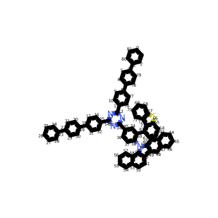 c1ccc(-c2ccc(-c3ccc(-c4nc(-c5ccc(-c6ccc(-c7ccccc7)cc6)cc5)nc(-c5ccc(-n6c7cc8ccccc8cc7c7ccc8ccccc8c76)c(-c6cccc7sc8ccccc8c67)c5)n4)cc3)cc2)cc1